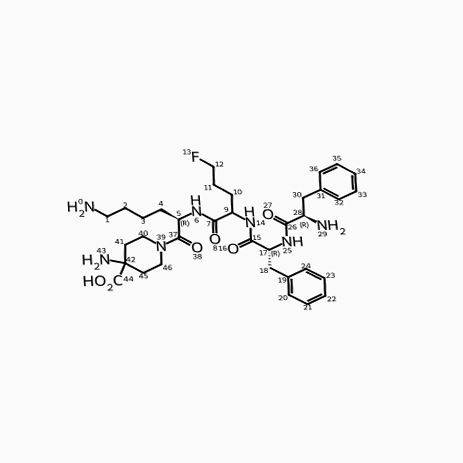 NCCCC[C@@H](NC(=O)C(CCCF)NC(=O)[C@@H](Cc1ccccc1)NC(=O)[C@H](N)Cc1ccccc1)C(=O)N1CCC(N)(C(=O)O)CC1